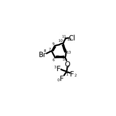 FC(F)(F)Oc1cc(Br)cc(CCl)c1